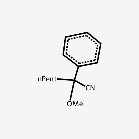 CCCCCC(C#N)(OC)c1ccccc1